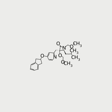 COCO[C@@]1(Cc2cc(OC3Cc4ccccc4C3)ccn2)C(=O)N(COC)[C@H]1CC(C)C